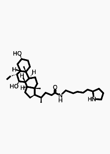 CC[C@H]1[C@@H](O)[C@@H]2[C@H](CC[C@]3(C)[C@@H]([C@H](C)CCC(=O)NCCCCCC4CCCN4)CC[C@@H]23)[C@@]2(C)CC[C@@H](O)C[C@@H]12